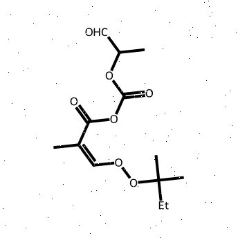 CCC(C)(C)OOC=C(C)C(=O)OC(=O)OC(C)C=O